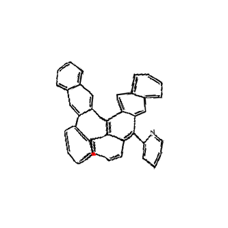 c1ccc(-c2cc3ccccc3cc2-c2c3ccccc3c(-c3ccccn3)c3cc4ccccc4cc23)cc1